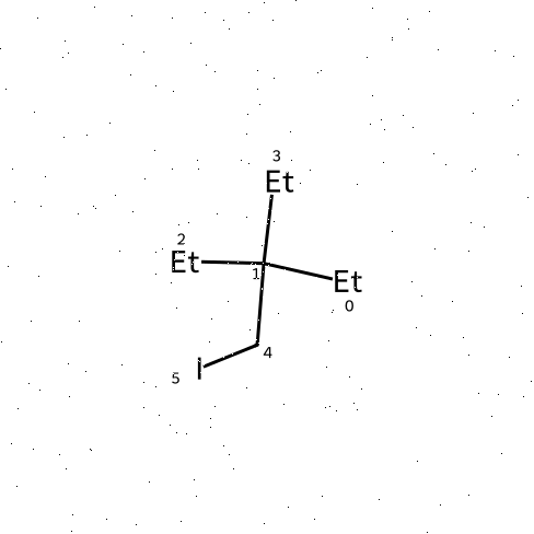 CCC(CC)(CC)CI